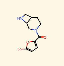 O=C(c1ccc(Br)o1)N1CCC2CNC2C1